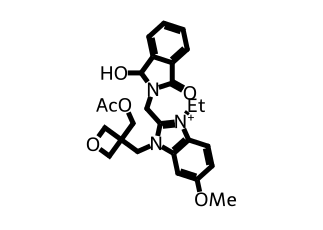 CC[n+]1c(CN2C(=O)c3ccccc3C2O)n(CC2(COC(C)=O)COC2)c2cc(OC)ccc21